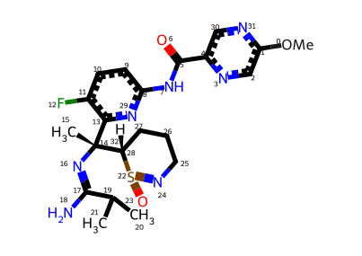 COc1cnc(C(=O)Nc2ccc(F)c([C@@]3(C)N=C(N)C(C)(C)[S@]4(=O)=NCCC[C@@H]34)n2)cn1